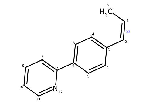 C/C=C\c1ccc(-c2ccccn2)cc1